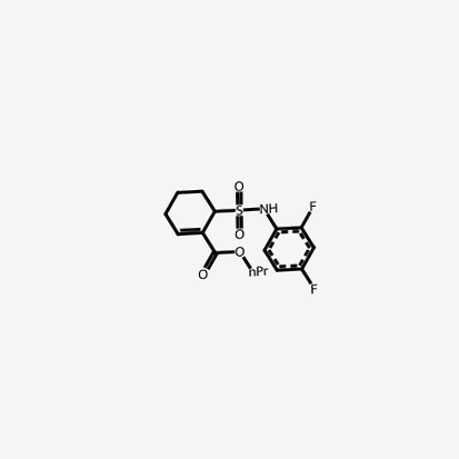 CCCOC(=O)C1=CCCCC1S(=O)(=O)Nc1ccc(F)cc1F